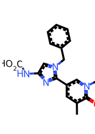 Cc1cc(-c2nc(NC(=O)O)cn2Cc2ccccc2)cn(C)c1=O